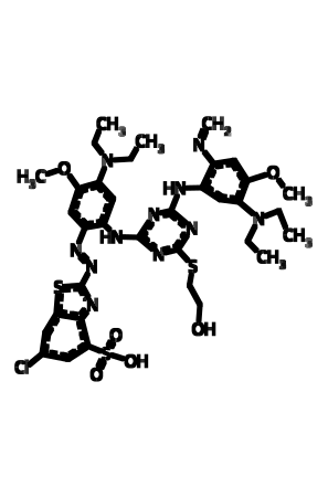 C=Nc1cc(OC)c(N(CC)CC)cc1Nc1nc(Nc2cc(N(CC)CC)c(OC)cc2/N=N/c2nc3c(S(=O)(=O)O)cc(Cl)cc3s2)nc(SCCO)n1